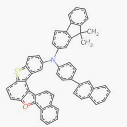 CC1(C)c2ccccc2-c2ccc(N(c3ccc(-c4ccc5ccccc5c4)cc3)c3ccc4sc5ccc6oc7c8ccccc8ccc7c6c5c4c3)cc21